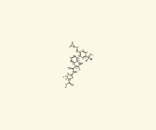 CCC(=O)N1C[C@H](NC(=O)c2c(C)[nH]c3c(-c4cc(C(F)(F)F)ccc4OCC4CC4)ncnc23)C[C@H]1C